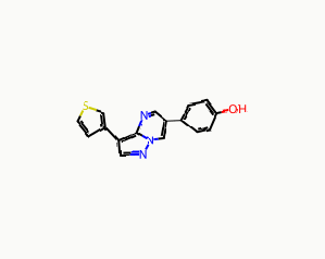 Oc1ccc(-c2cnc3c(-c4ccsc4)cnn3c2)cc1